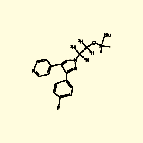 [2H]C([2H])(O[Si](C)(C)C(C)(C)C)C([2H])([2H])n1cc(-c2ccncc2)c(-c2ccc(F)cc2)n1